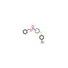 O=C(OCc1ccccc1)N1CCC(Sc2ccc(Br)cc2)CC1